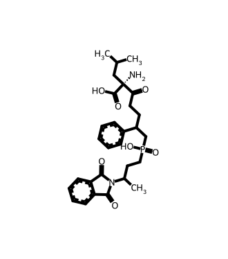 CC(C)C[C@](N)(C(=O)O)C(=O)CCC(CP(=O)(O)CCC(C)N1C(=O)c2ccccc2C1=O)c1ccccc1